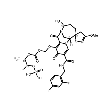 CC[C@H](OP(=O)(O)O)[C@H](C)OC(=O)OCOc1c2n(cc(C(=O)NCc3ccc(F)cc3F)c1=O)[C@@H]1CN(C2=O)[C@@H](C)CC[C@]12CC(OC)=NO2